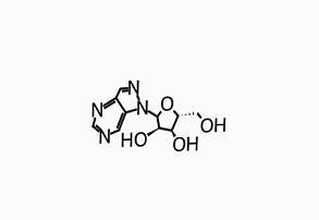 OC[C@H]1OC(n2ncc3ncncc32)[C@H](O)[C@@H]1O